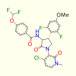 COc1cc(F)c([C@@H]2CN(c3c(Cl)ccn(C)c3=O)C(=O)C2NC(=O)c2ccc(OC(F)F)cc2)c(F)c1